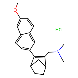 COc1ccc2cc(C3=C(CN(C)C)C4CCC3C4)ccc2c1.Cl